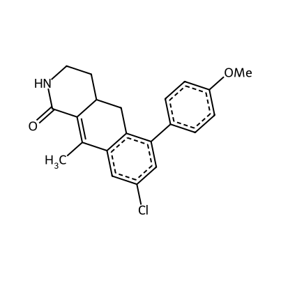 COc1ccc(-c2cc(Cl)cc3c2CC2CCNC(=O)C2=C3C)cc1